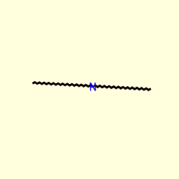 CCCCCCCCCCCCCCCCCCCCCCCCCC=NCCCCCCCCCCCCCCCCCCCCCCCCC